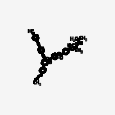 C#Cc1ccc(C#Cc2ccc(C#CC3(OC(=O)c4ccc(OC(=O)C5CCC(C(=O)OC(C)(C)COC(=O)C(=C)C)CC5)cc4)CCC(C4CCC(CCCCC)CC4)CC3)cc2)cc1